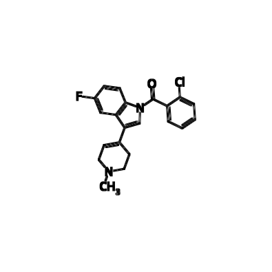 CN1CC=C(c2cn(C(=O)c3ccccc3Cl)c3ccc(F)cc23)CC1